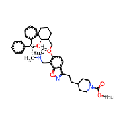 CN(C)Cc1c(OC[C@@H]2CCCC[C@H]2O[Si](c2ccccc2)(c2ccccc2)C(C)(C)C)ccc2c(CCC3CCN(C(=O)OC(C)(C)C)CC3)noc12